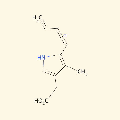 C=C/C=C\c1[nH]cc(CC(=O)O)c1C